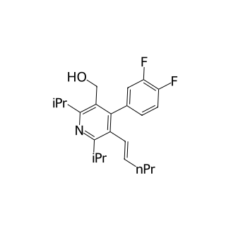 CCC/C=C/c1c(C(C)C)nc(C(C)C)c(CO)c1-c1ccc(F)c(F)c1